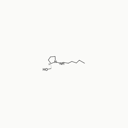 CCCCCCNN1CCC[C@H]1CO